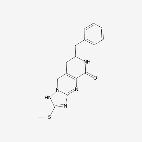 CSC1=NC2=NC3=C(CC(Cc4ccccc4)NC3=O)CN2N1